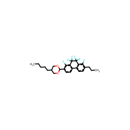 CCCCCC1COC(c2ccc3c(c2F)C(F)(F)C(F)(F)c2c-3ccc(CCC)c2F)OC1